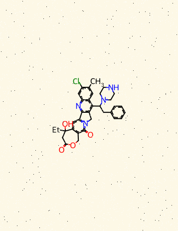 CCC1(O)CC(=O)OCc2c1cc1n(c2=O)Cc2c-1nc1cc(Cl)c(C)cc1c2C(Cc1ccccc1)N1CCNCC1